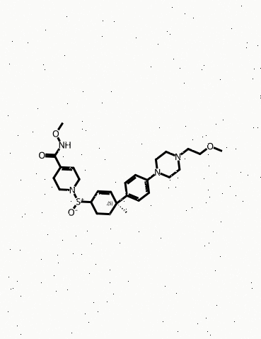 COCCN1CCN(c2ccc([C@]3(C)C=CC([S+]([O-])N4CC=C(C(=O)NOC)CC4)CC3)cc2)CC1